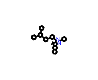 CC1(C)c2cc3ccccc3cc2-c2nc(-c3ccccc3)nc(-c3cccc(-c4cccc(-c5cc(-c6ccccc6)cc(-c6ccccc6)c5)c4)c3)c21